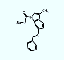 Cc1cn(C(=O)OC(C)(C)C)c2cc(OCc3ccccc3)ccc12